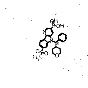 CS(=O)(=O)c1ccc2c3ncc(B(O)O)cc3n([C@H](c3ccccc3)C3CCOCC3)c2c1